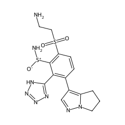 NCCS(=O)(=O)c1ccc(-c2cnn3c2CCC3)c(-c2nnn[nH]2)c1[S+](N)[O-]